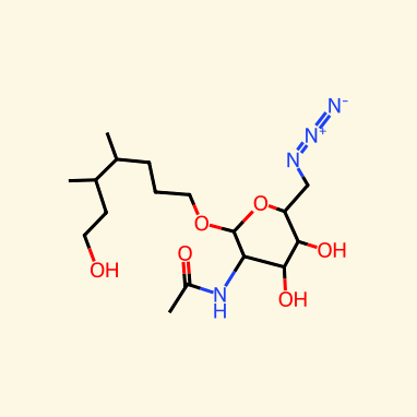 CC(=O)NC1C(OCCCC(C)C(C)CCO)OC(CN=[N+]=[N-])C(O)C1O